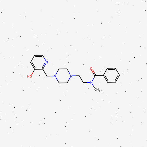 CN(CCN1CCN(Cc2ncccc2O)CC1)C(=O)c1ccccc1